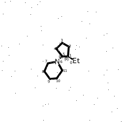 CC[C@@H]1CCC[C@H]1N1CCCCC1